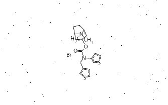 C[N+]1(C)C2CCC1CC(OC(=O)N(Cc1ccsc1)c1ccsc1)C2.[Br-]